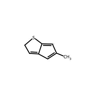 CC1=CC2=CCSC2=[C]1